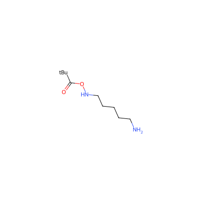 CC(C)(C)C(=O)ONCCCCCN